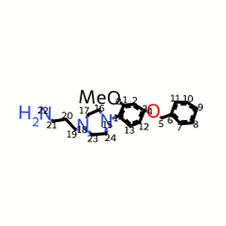 COc1cc(OCc2ccccc2)ccc1N1CCN(CCCN)CC1